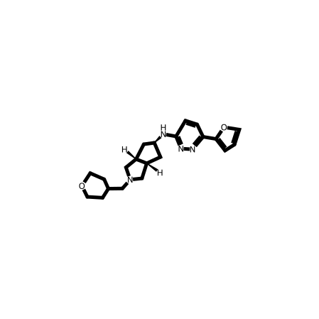 c1coc(-c2ccc(N[C@H]3C[C@@H]4CN(CC5CCOCC5)C[C@@H]4C3)nn2)c1